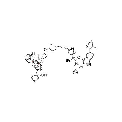 Cc1ncsc1-c1ccc([C@H](C)NC(=O)[C@@H]2C[C@@H](O)CN2C(=O)[C@H](c2cc(OCCC3CCC(OC4CC(Oc5cc(N6C7CC[C@@H]6CN(c6cc(-c8ccccc8O)nnc6N)C7)ccn5)C4)CC3)no2)C(C)C)cc1